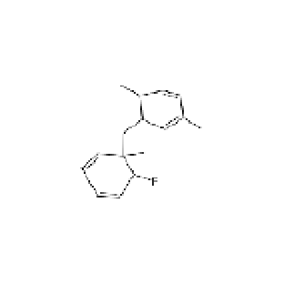 CC1=CC(CC2(C)C=CC=CC2F)C(C)C=C1